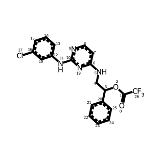 O=C(OC(CNc1ccnc(Nc2cccc(Cl)c2)n1)c1ccccc1)C(F)(F)F